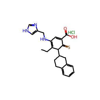 CCC1=C(NCc2c[nH]cn2)C=C(C(=O)O)C(=S)C1C1CCc2ccccc2C1.Cl